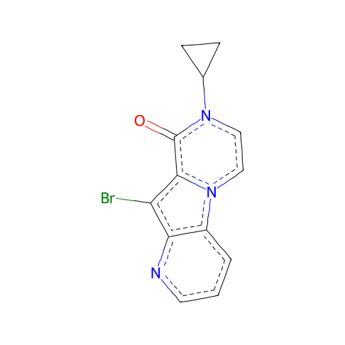 O=c1c2c(Br)c3ncccc3n2ccn1C1CC1